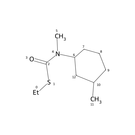 CCSC(=O)N(C)C1CCCC(C)C1